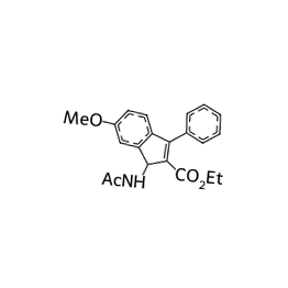 CCOC(=O)C1=C(c2ccccc2)c2ccc(OC)cc2C1NC(C)=O